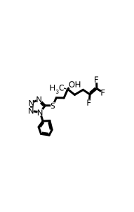 C[C@@](O)(CCSc1nnnn1-c1ccccc1)CCC(F)=C(F)F